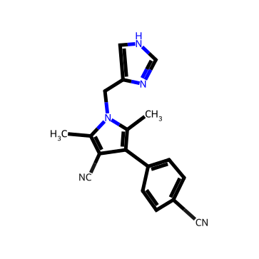 Cc1c(C#N)c(-c2ccc(C#N)cc2)c(C)n1Cc1c[nH]cn1